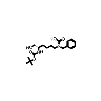 CC(C)(C)OC(=O)N[C@H](CO)CCCCN(Cc1ccccc1)C(=O)O